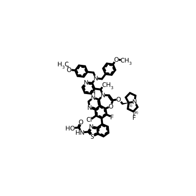 COc1ccc(CN(Cc2ccc(OC)cc2)c2ncccc2C(C)N2C=C(OC[C@@]34CCCN3C[C@H](F)C4)Oc3c(F)c(-c4cccc5sc(NC(=O)O)nc45)c(Cl)c4c3=C2NCN=4)cc1